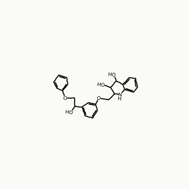 OC(COc1ccccc1)c1cccc(OCC2Nc3ccccc3C(O)C2O)c1